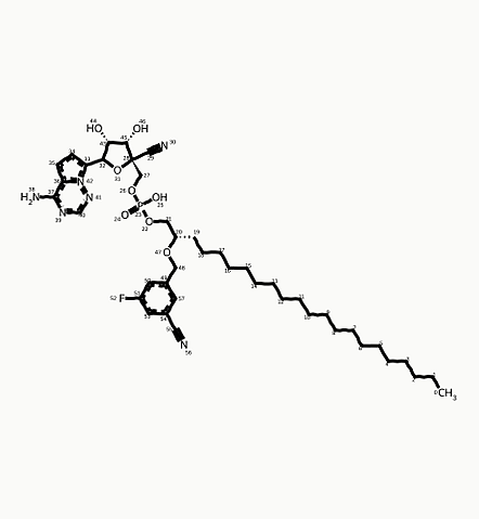 CCCCCCCCCCCCCCCCCCCC[C@@H](COP(=O)(O)OC[C@@]1(C#N)OC(c2ccc3c(N)ncnn23)[C@H](O)[C@@H]1O)OCc1cc(F)cc(C#N)c1